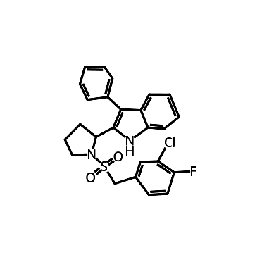 O=S(=O)(Cc1ccc(F)c(Cl)c1)N1CCCC1c1[nH]c2ccccc2c1-c1ccccc1